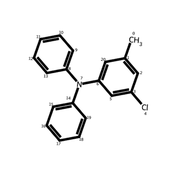 Cc1cc(Cl)cc(N(c2ccccc2)c2ccccc2)c1